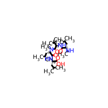 CN[C@@H](CC(C)C)C(=O)N[C@H](C(=O)N(C)[C@@H](CC(C)C)C(=O)N[C@@H](CC(C)C)C(=O)O)C(C)C